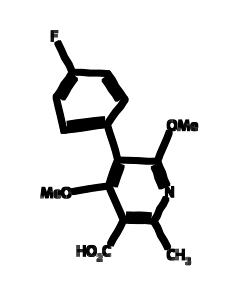 COc1nc(C)c(C(=O)O)c(OC)c1-c1ccc(F)cc1